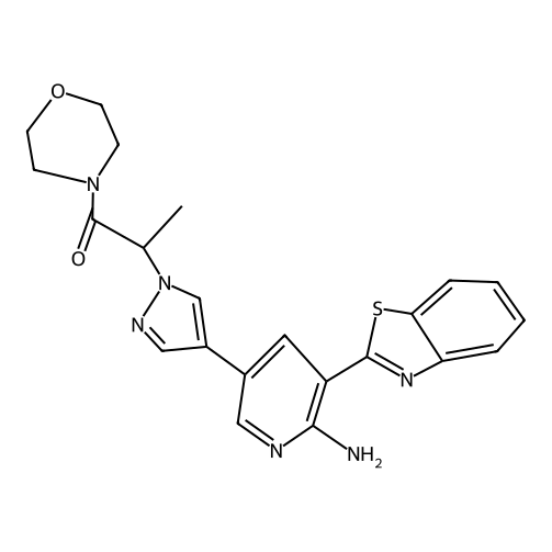 CC(C(=O)N1CCOCC1)n1cc(-c2cnc(N)c(-c3nc4ccccc4s3)c2)cn1